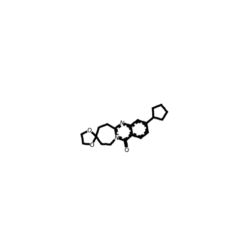 O=c1c2ccc(C3CCCC3)cc2nc2n1CCC1(CC2)OCCO1